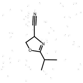 CC(C)C1=NC(C#N)CO1